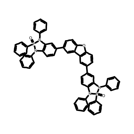 O=P1(c2ccccc2)N(c2ccccc2)c2ccc(-c3ccc4oc5ccc(-c6ccc7c(c6)N(c6ccccc6)P(=O)(c6ccccc6)N7c6ccccc6)cc5c4c3)cc2N1c1ccccc1